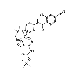 CC(C)(C)OC(=O)NC1=N[C@](C)(c2nc(NC(=O)c3ncc(C#N)cc3Cl)ccc2F)[C@H]2CC(F)(F)CN=[S@]2(=O)C1(C)C